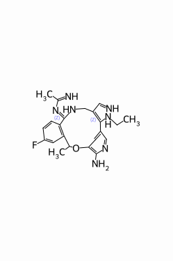 CCN/C1=C(\C=N)CN/C(=N\C(C)=N)c2ccc(F)cc2C(C)Oc2cc1cnc2N